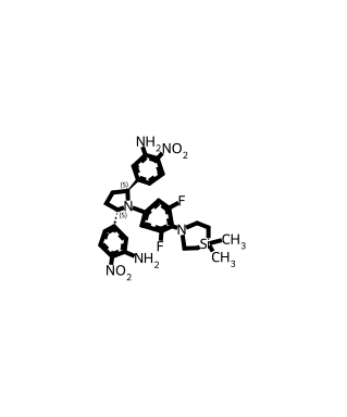 C[Si]1(C)CCN(c2c(F)cc(N3[C@H](c4ccc([N+](=O)[O-])c(N)c4)CC[C@H]3c3ccc([N+](=O)[O-])c(N)c3)cc2F)CC1